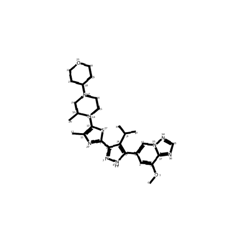 COc1cc(-c2[nH]nc(-c3nc(C)c(N4CCN(C5CCOCC5)CC4C)s3)c2C(C)C)cn2ncnc12